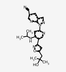 CC(C)Nc1cc(-n2ncc3cc(C#N)cnc32)ncc1-c1cc(CC(C)(C)O)on1